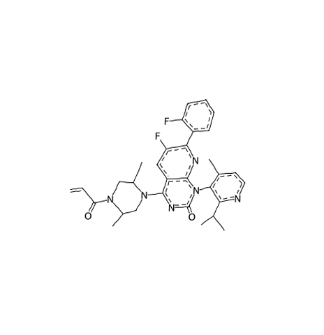 C=CC(=O)N1CC(C)N(c2nc(=O)n(-c3c(C)ccnc3C(C)C)c3nc(-c4ccccc4F)c(F)cc23)CC1C